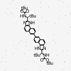 CC(C)(C)OC(=O)N[C@H](c1nc2ccc3cc(-c4ccc5c(ccc6nc([C@@H](NC(=O)OC(C)(C)C)C(C)(C)C)[nH]c65)c4)ccc3c2[nH]1)C(C)(C)C